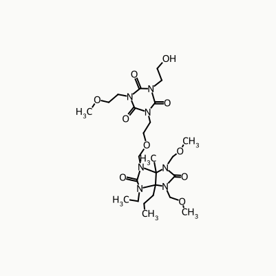 CCCC12N(CC)C(=O)N(COCCn3c(=O)n(CCO)c(=O)n(CCOC)c3=O)C1(C)N(COC)C(=O)N2COC